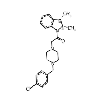 C[C@H]1c2ccccc2N(C(=O)CN2CCN(Cc3ccc(Cl)cc3)CC2)[C@H]1C